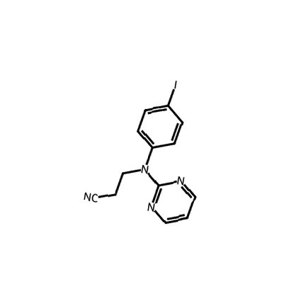 N#CCCN(c1ccc(I)cc1)c1ncccn1